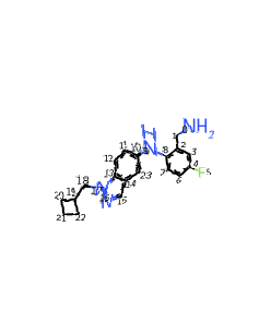 NCc1cc(F)ccc1Nc1ccc2c(cnn2CC2CCC2)c1